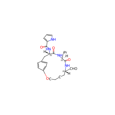 CC(C)[C@@H]1NC(=O)[C@@H](NC(=O)c2ccc[nH]2)Cc2ccc(cc2)OCCCC[C@@H](C=O)NC1=O